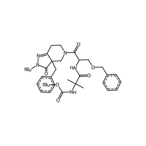 CC(C)(C)OC(=O)NC(C)(C)C(=O)NC(COCc1ccccc1)C(=O)N1CCC2=NN(C(C)(C)C)C(=O)C2(Cc2ccccc2)C1